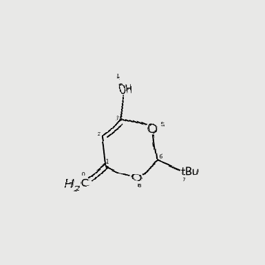 C=C1C=C(O)OC(C(C)(C)C)O1